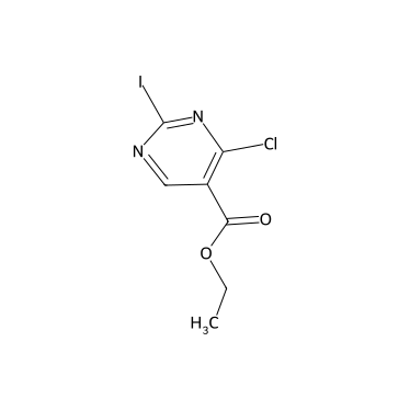 CCOC(=O)c1cnc(I)nc1Cl